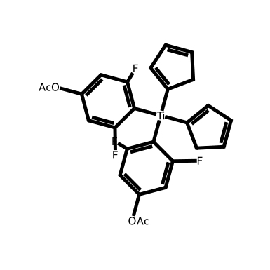 CC(=O)Oc1cc(F)[c]([Ti]([C]2=CC=CC2)([C]2=CC=CC2)[c]2c(F)cc(OC(C)=O)cc2F)c(F)c1